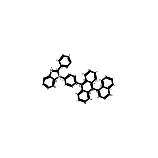 c1ccc(-c2nc3ccccc3n2-c2ccc(-c3c4ccccc4c(-c4cccc5ccccc45)c4ccccc34)cc2)cc1